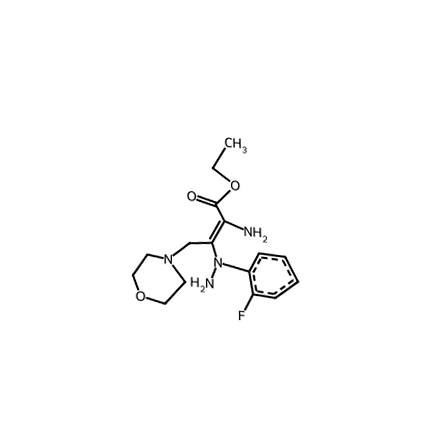 CCOC(=O)/C(N)=C(\CN1CCOCC1)N(N)c1ccccc1F